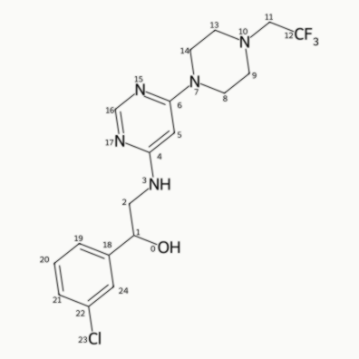 OC(CNc1cc(N2CCN(CC(F)(F)F)CC2)ncn1)c1cccc(Cl)c1